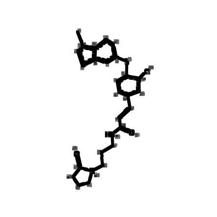 Cn1ccc2cc(Sc3ccc(C=CC(=O)NCCCN4CCCC4=O)cc3Cl)ccc21